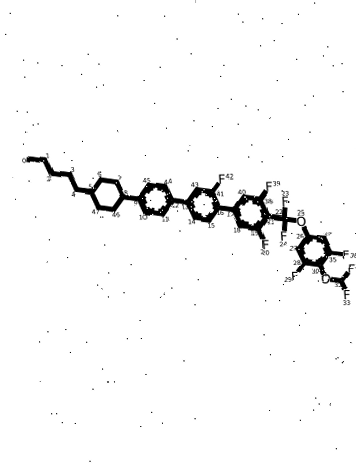 CCCCCC1CCC(c2ccc(-c3ccc(-c4cc(F)c(C(F)(F)Oc5cc(F)c(OC(F)F)c(F)c5)c(F)c4)c(F)c3)cc2)CC1